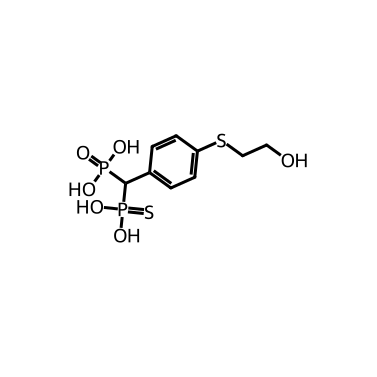 O=P(O)(O)C(c1ccc(SCCO)cc1)P(O)(O)=S